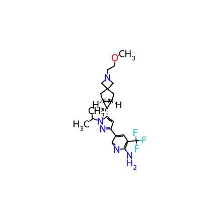 COCCN1CC2(C[C@@H]3[C@H](C2)[C@H]3c2cc(-c3cnc(N)c(C(F)(F)F)c3)nn2C(C)C)C1